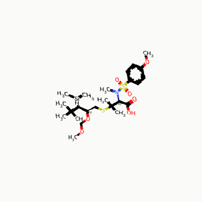 COCO[C@H](CSC(C)(C)[C@H](C(=O)O)N(C)S(=O)(=O)c1ccc(OC)cc1)C([SiH](C)C)C(C)(C)C